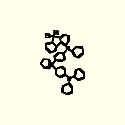 CCC1(CC)c2ccccc2-c2c(N(c3ccccc3)c3ccc(C4(c5ccc(N(c6ccccc6)c6ccccc6)cc5)CC5CCC4C5)cc3)cccc21